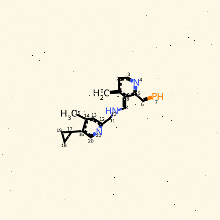 C=c1ccnc(C=P)/c1=C/NCc1cc(C)c(C2CC2)cn1